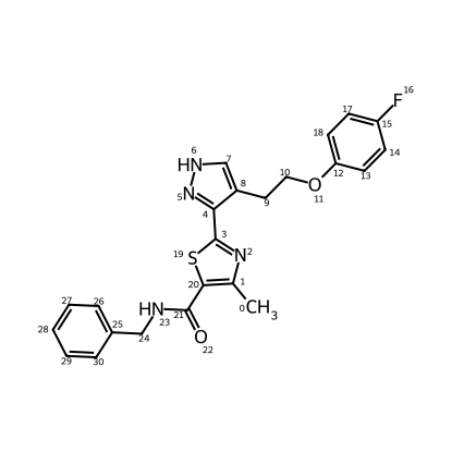 Cc1nc(-c2n[nH]cc2CCOc2ccc(F)cc2)sc1C(=O)NCc1ccccc1